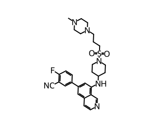 CN1CCN(CCCS(=O)(=O)N2CCC(Nc3cc(-c4ccc(F)c(C#N)c4)cc4ccncc34)CC2)CC1